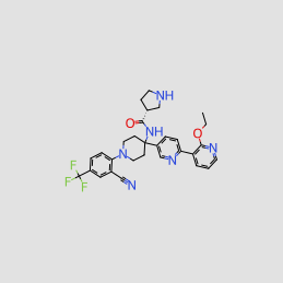 CCOc1ncccc1-c1ccc(C2(NC(=O)[C@@H]3CCNC3)CCN(c3ccc(C(F)(F)F)cc3C#N)CC2)cn1